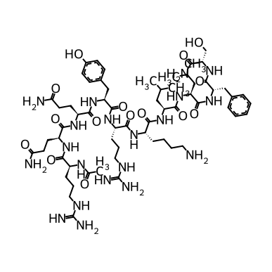 CC(=O)N[C@@H](CCCNC(=N)N)C(=O)N[C@@H](CCC(N)=O)C(=O)N[C@@H](CCC(N)=O)C(=O)N[C@@H](Cc1ccc(O)cc1)C(=O)N[C@@H](CCCNC(=N)N)C(=O)N[C@@H](CCCCN)C(=O)N[C@@H](CC(C)C)C(=O)N[C@@H](CC(C)C)C(=O)N[C@@H](Cc1ccccc1)C(=O)N[C@@H](CO)C(N)=O